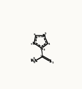 NC(=S)n1cncn1